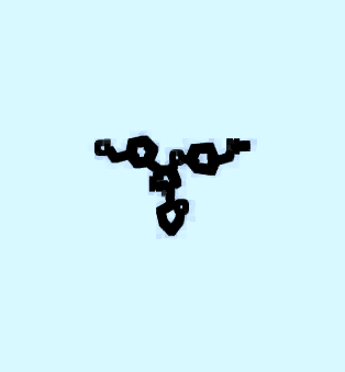 C=NCc1ccc(Oc2cn(C3CCCCO3)nc2-c2cccc(CCl)c2)cc1